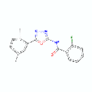 Cc1ccc(C)c(-c2nnc(NC(=O)c3ccccc3F)o2)c1